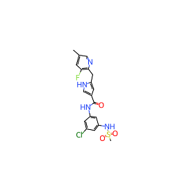 Cc1cnc(Cc2cc(C(=O)Nc3cc(Cl)cc(NS(C)(=O)=O)c3)c[nH]2)c(F)c1